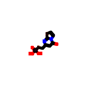 O=c1cc(CSP(=O)(O)O)nc2sccn12